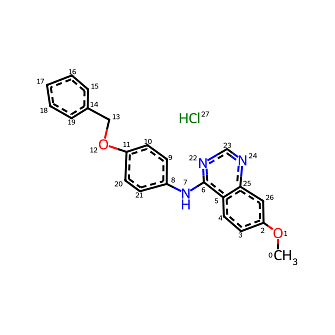 COc1ccc2c(Nc3ccc(OCc4ccccc4)cc3)ncnc2c1.Cl